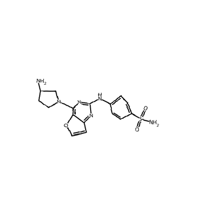 NC1CCN(c2nc(Nc3ccc(S(N)(=O)=O)cc3)nc3ccoc23)C1